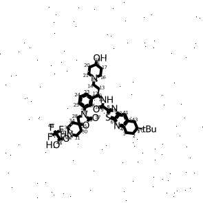 CC(C)(C)[C@H]1CCc2nc3sc(C(=O)N[C@H](CCN4CCC(O)CC4)c4cccc(N5CC6(CCNCC6)OC5=O)c4)nc3cc2C1.O=C(O)C(F)(F)F